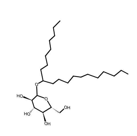 CCCCCCCCCCCC(CCCCCCCC)OC1O[C@H](CO)[C@@H](O)[C@H](O)[C@H]1O